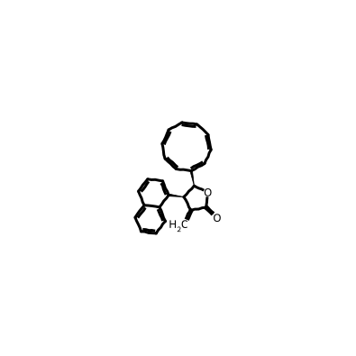 C=C1C(=O)O[C@H](c2ccccccccc2)[C@@H]1c1cccc2ccccc12